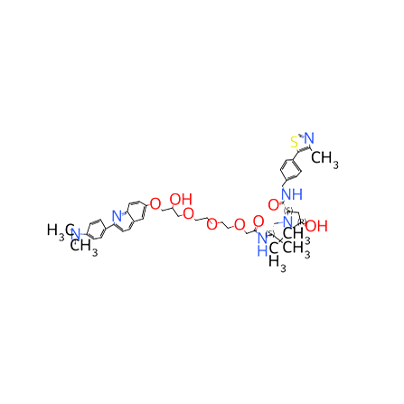 Cc1ncsc1-c1ccc(CNC(=O)[C@@H]2C[C@@H](O)CN2C[C@@H](NC(=O)COCCOCCOCC(O)COc2ccc3nc(-c4ccc(N(C)C)cc4)ccc3c2)C(C)(C)C)cc1